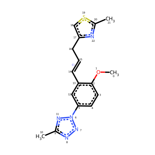 COc1ccc(-n2nnc(C)n2)cc1/C=C/Cc1csc(C)n1